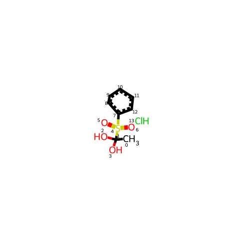 CC(O)(O)S(=O)(=O)c1ccccc1.Cl